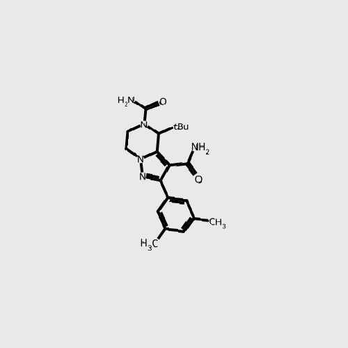 Cc1cc(C)cc(-c2nn3c(c2C(N)=O)C(C(C)(C)C)N(C(N)=O)CC3)c1